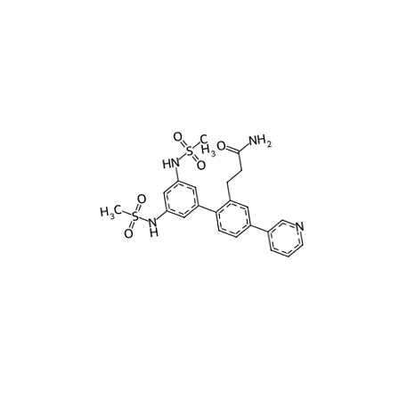 CS(=O)(=O)Nc1cc(NS(C)(=O)=O)cc(-c2ccc(-c3cccnc3)cc2CCC(N)=O)c1